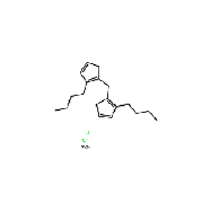 CCCCC1=C(CC2=C(CCCC)C=CC2)CC=C1.[Cl-].[Cl-].[Zr+2]